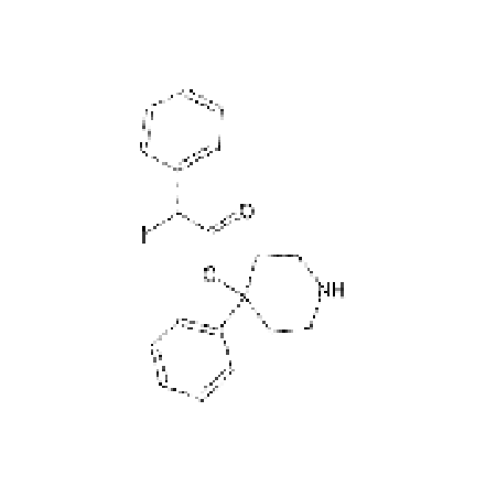 O=C(OC1(c2ccccc2)CCNCC1)C(I)c1ccccc1